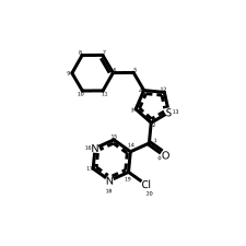 O=C(c1cc(CC2=CCCCC2)cs1)c1cncnc1Cl